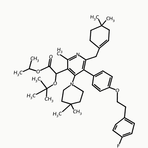 Cc1nc(CC2=CCC(C)(C)CC2)c(-c2ccc(OCCc3ccc(F)cc3)cc2)c(N2CCC(C)(C)CC2)c1C(OC(C)(C)C)C(=O)OC(C)C